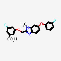 Cn1c(COc2cc(F)cc(C(=O)O)c2)nc2ccc(Oc3cccc(F)c3)cc21